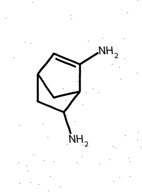 NC1=CC2CC(N)C1C2